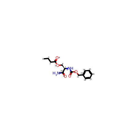 CCCC(=O)OC[C@@H](NC(=O)OCc1ccccc1)C(N)=O